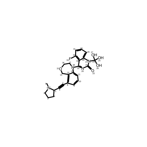 CN1CCCC1C#Cc1cccc2c1COCCN2c1nc(=O)n(C(O)(O)O)c2cccc(F)c12